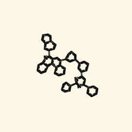 c1ccc(-c2cc(-c3cccc(-c4cccc(-c5cc6c(-c7ccc8ccccc8c7)nc7ccccc7c6c6ccccc56)c4)c3)nc(-c3ccccc3)n2)cc1